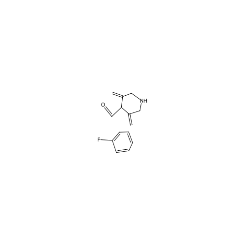 C=C1CNCC(=C)C1C=O.Fc1ccccc1